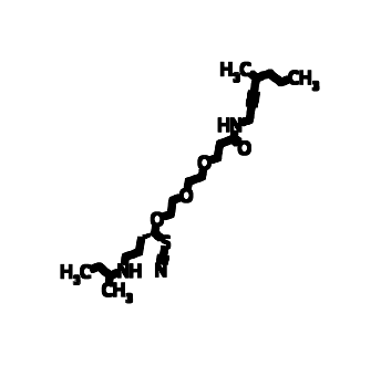 CCCC(C)C#CCNC(=O)CCOCCOCCO[C@@H](CCCNC(C)CC)SC#N